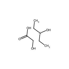 CCN(O)CC.O=C(O)CO